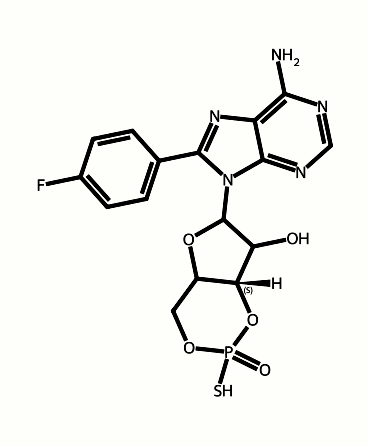 Nc1ncnc2c1nc(-c1ccc(F)cc1)n2C1OC2COP(=O)(S)O[C@H]2C1O